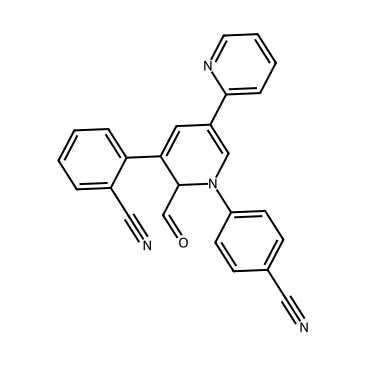 N#Cc1ccc(N2C=C(c3ccccn3)C=C(c3ccccc3C#N)C2C=O)cc1